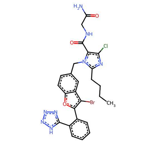 CCCCc1nc(Cl)c(C(=O)NCC(N)=O)n1Cc1ccc2oc(-c3ccccc3-c3nnn[nH]3)c(Br)c2c1